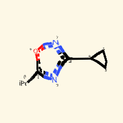 CC(C)c1nc(C2CC2)no1